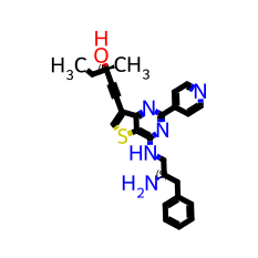 CC[C@](C)(O)C#Cc1csc2c(NC[C@@H](N)Cc3ccccc3)nc(-c3ccncc3)nc12